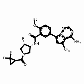 CCOc1ccc(-c2cc(C(F)(F)F)c3c(N)ncnn23)cc1C(=O)N[C@@H]1CN(C(=O)C2CC2(F)F)C[C@@H]1F